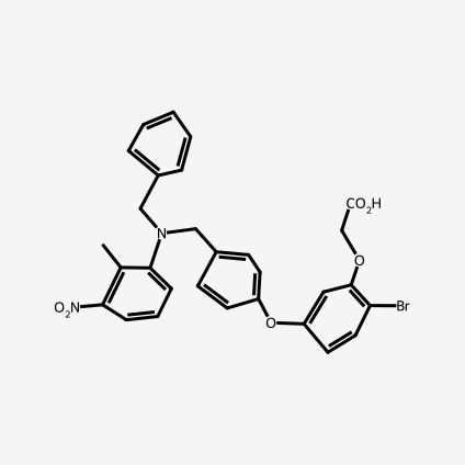 Cc1c(N(Cc2ccccc2)Cc2ccc(Oc3ccc(Br)c(OCC(=O)O)c3)cc2)cccc1[N+](=O)[O-]